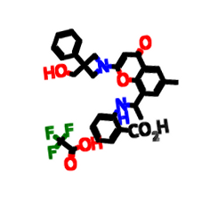 Cc1cc(C(C)Nc2ccccc2C(=O)O)c2oc(N3CC(CO)(c4ccccc4)C3)cc(=O)c2c1.O=C(O)C(F)(F)F